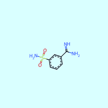 N=C(N)c1cccc(S(N)(=O)=O)c1